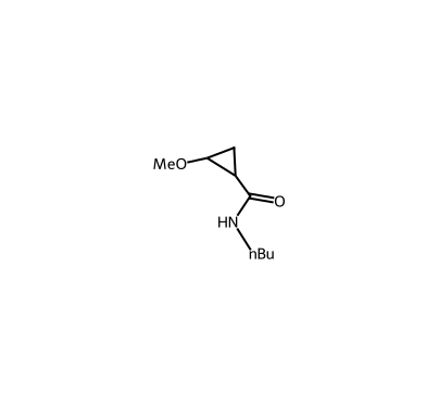 CCCCNC(=O)C1CC1OC